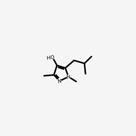 Cc1nn(C)c(CC(C)C)c1O